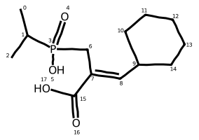 CC(C)P(=O)(O)CC(=CC1CCCCC1)C(=O)O